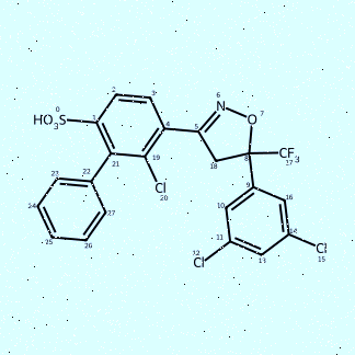 O=S(=O)(O)c1ccc(C2=NOC(c3cc(Cl)cc(Cl)c3)(C(F)(F)F)C2)c(Cl)c1-c1ccccc1